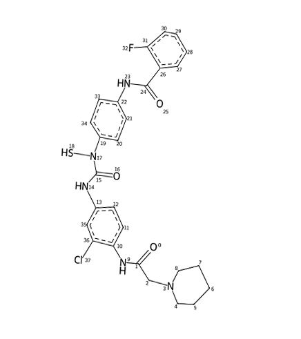 O=C(CN1CCCCC1)Nc1ccc(NC(=O)N(S)c2ccc(NC(=O)c3ccccc3F)cc2)cc1Cl